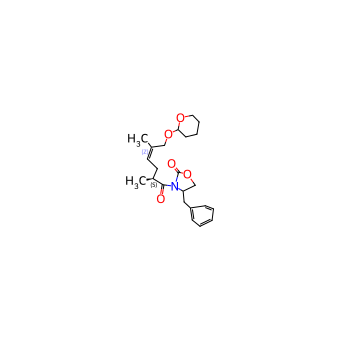 C/C(=C/C[C@H](C)C(=O)N1C(=O)OCC1Cc1ccccc1)COC1CCCCO1